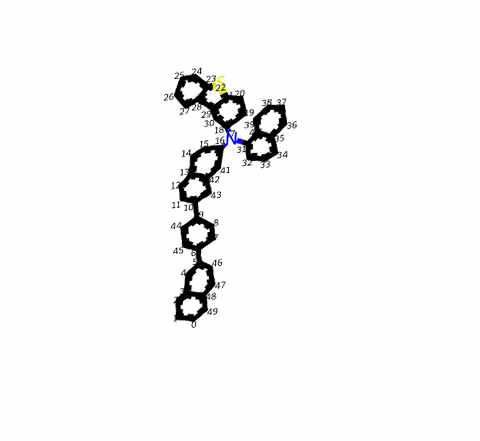 c1ccc2cc(-c3ccc(-c4ccc5ccc(N(c6ccc7sc8ccccc8c7c6)c6cccc7ccccc67)cc5c4)cc3)ccc2c1